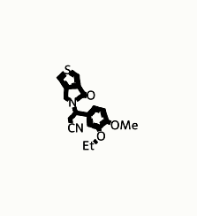 CCOc1cc(C(CC#N)N2Cc3cscc3C2=O)ccc1OC